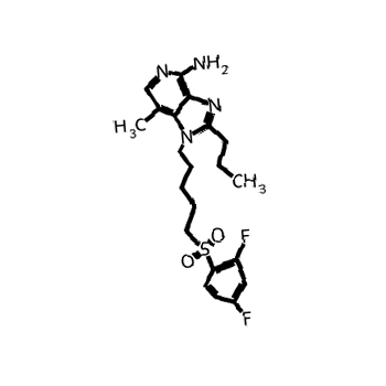 CCCc1nc2c(N)ncc(C)c2n1CCCCCS(=O)(=O)c1ccc(F)cc1F